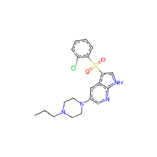 CCCN1CCN(c2cnc3[nH]cc(S(=O)(=O)c4ccccc4Cl)c3c2)CC1